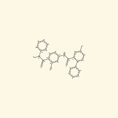 Cc1ccc(-c2ccccc2)c(C(=O)Nc2ccc(C(=O)N(C)c3ccccc3)c(Cl)c2)c1